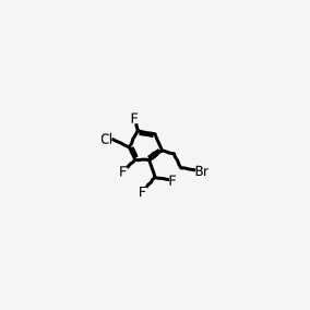 Fc1cc(CCBr)c(C(F)F)c(F)c1Cl